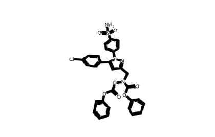 NS(=O)(=O)c1ccc(-n2nc(CN(OC(=O)Oc3ccccc3)C(=O)Oc3ccccc3)cc2-c2ccc(Cl)cc2)cc1